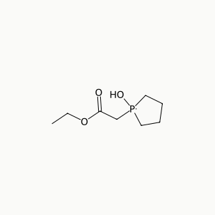 CCOC(=O)C[P]1(O)CCCC1